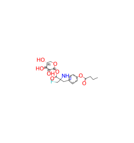 CCCC(=O)Oc1ccc(CC(N)(CF)C(=O)O[C@@H]2OC[C@@H](O)[C@H](O)[C@H]2O)cc1